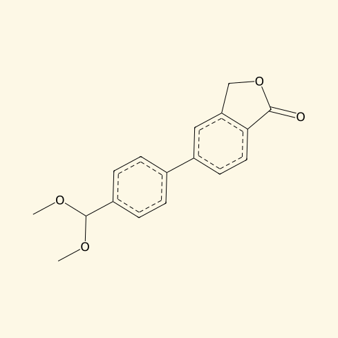 COC(OC)c1ccc(-c2ccc3c(c2)COC3=O)cc1